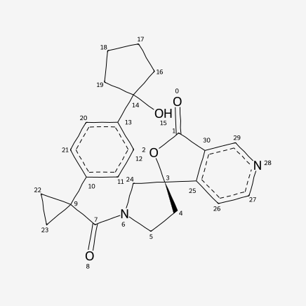 O=C1O[C@]2(CCN(C(=O)C3(c4ccc(C5(O)CCCC5)cc4)CC3)C2)c2ccncc21